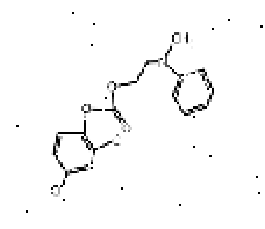 CN(CCOC(=O)Oc1ccc(Cl)cc1Cl)c1ccccc1